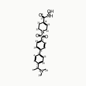 CC(c1ccc(-c2ccc(S(=O)(=O)N3CC=C(C(=O)NO)CC3)cc2)cc1)N(C)C